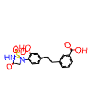 O=C1CN(c2ccc(CCc3cccc(C(=O)O)c3)cc2O)S(=O)(=O)N1